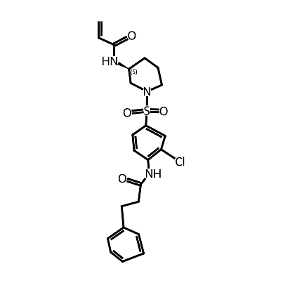 C=CC(=O)N[C@H]1CCCN(S(=O)(=O)c2ccc(NC(=O)CCc3ccccc3)c(Cl)c2)C1